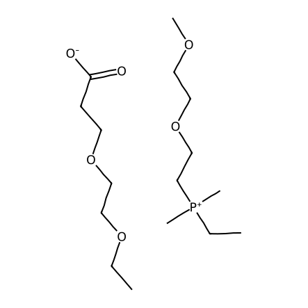 CCOCCOCCC(=O)[O-].CC[P+](C)(C)CCOCCOC